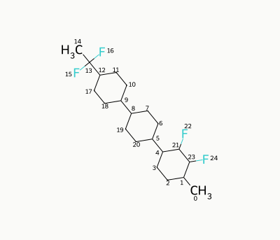 CC1CCC(C2CCC(C3CCC(C(C)(F)F)CC3)CC2)C(F)C1F